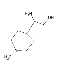 CN1CCC(C(N)CO)CC1